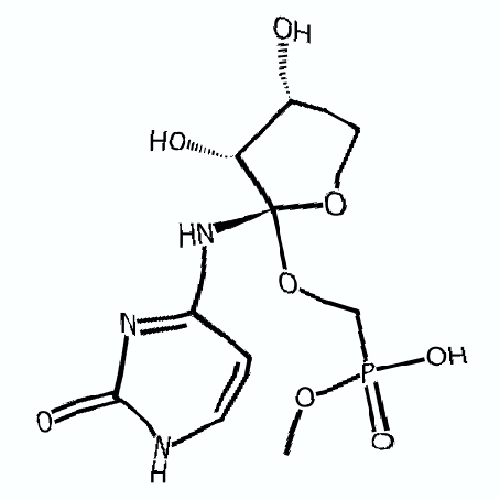 COP(=O)(O)CO[C@@]1(Nc2cc[nH]c(=O)n2)OC[C@@H](O)[C@H]1O